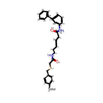 CSc1ccc(CSCC(=O)NCCCCCC(=O)Nc2cccc(-c3ccccc3)c2)cc1